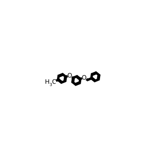 Cc1ccc(Oc2cccc(OCc3ccccc3)c2)cc1